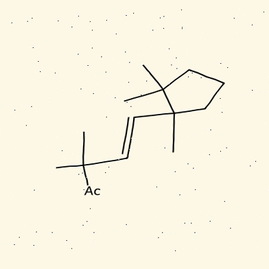 CC(=O)C(C)(C)C=CC1(C)CCCC1(C)C